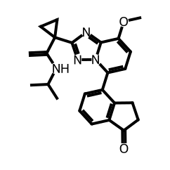 C=C(NC(C)C)C1(c2nc3c(OC)ccc(-c4cccc5c4CCC5=O)n3n2)CC1